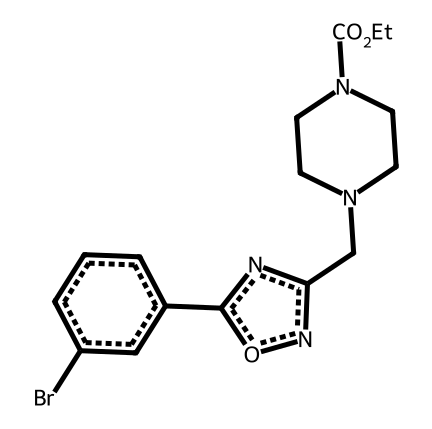 CCOC(=O)N1CCN(Cc2noc(-c3cccc(Br)c3)n2)CC1